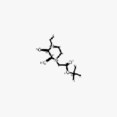 CCN1CCN(CC(=O)OC(C)(C)C)C(=O)C1=O